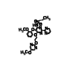 CCCS(=O)(=O)Nc1nc(-c2ncccn2)nc(OCCOc2ncc(OC)cn2)c1Oc1ccccc1OC